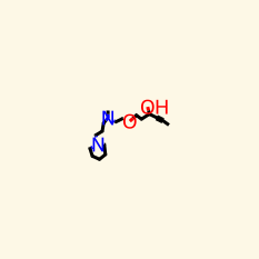 CC#CC(O)CCOCCN(C)CCCN1CCCCC1